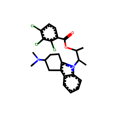 CC(OC(=O)c1ccc(Cl)c(Cl)c1Cl)C(C)n1c2c(c3ccccc31)CC(N(C)C)CC2